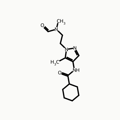 Cc1c(NC(=O)C2CCCCC2)cnn1CCN(C)C=O